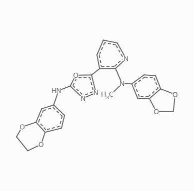 CN(c1ccc2c(c1)OCO2)c1ncccc1-c1nnc(Nc2ccc3c(c2)OCCO3)o1